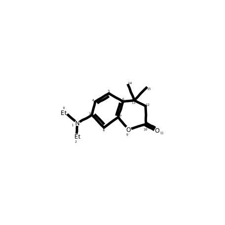 CCN(CC)c1ccc2c(c1)OC(=O)CC2(C)C